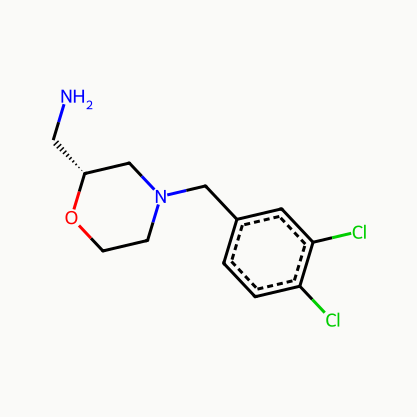 NC[C@@H]1CN(Cc2ccc(Cl)c(Cl)c2)CCO1